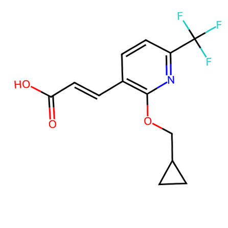 O=C(O)/C=C/c1ccc(C(F)(F)F)nc1OCC1CC1